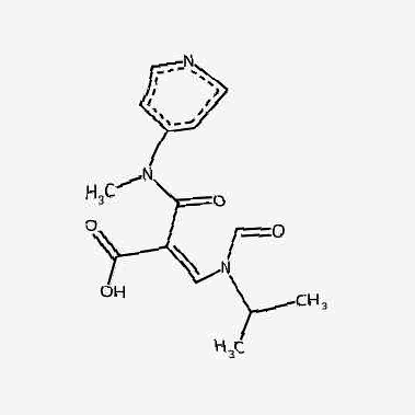 CC(C)N(C=O)/C=C(/C(=O)O)C(=O)N(C)c1ccncc1